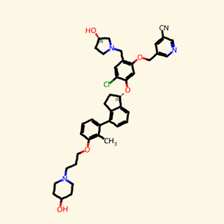 Cc1c(OCCCN2CCC(O)CC2)cccc1-c1cccc2c1CC[C@@H]2Oc1cc(OCc2cncc(C#N)c2)c(CN2CC[C@@H](O)C2)cc1Cl